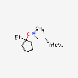 CCCCCCCCCN(C)OC1(CC)CCCC1